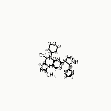 CC[C@@H]1c2nnc(C)n2-c2cnc(C3C=NNC3c3nccs3)nc2N1C1CCOCC1